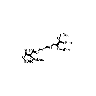 CCCCCCCCCCOC(CCCCC)=C(COCOCOCC(OCCCCCCCCCC)=C(CCCCC)OCCCCCCCCCC)OCCCCCCCCCC